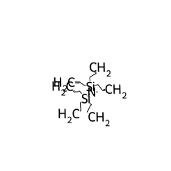 C=CC[Si](CC=C)(CC=C)[N][Si](CC=C)(CC=C)CC=C